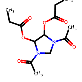 CCC(=O)OC1C(OC(=O)CC)N(C(C)=O)CN1C(C)=O